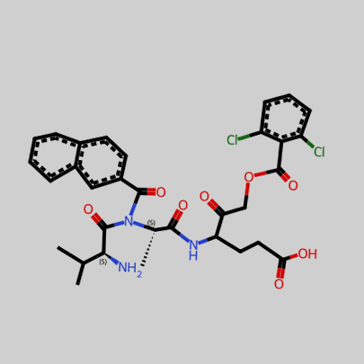 CC(C)[C@H](N)C(=O)N(C(=O)c1ccc2ccccc2c1)[C@@H](C)C(=O)NC(CCC(=O)O)C(=O)COC(=O)c1c(Cl)cccc1Cl